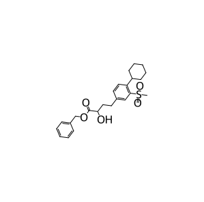 CS(=O)(=O)c1cc(CCC(O)C(=O)OCc2ccccc2)ccc1C1CCCCC1